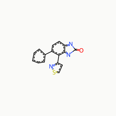 O=C1N=c2ccc(-c3ccccc3)c(-c3ccsn3)c2=N1